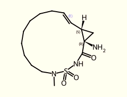 CN1CCCCCCCC/C=C/[C@@H]2C[C@]2(N)C(=O)NS1(=O)=O